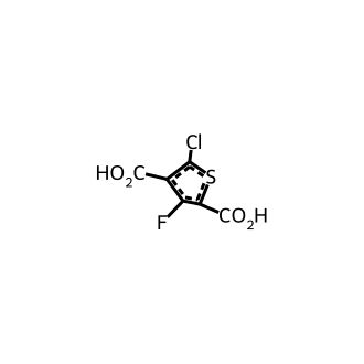 O=C(O)c1sc(Cl)c(C(=O)O)c1F